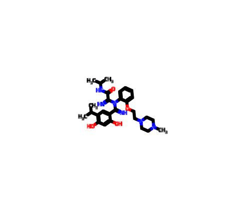 CC(C)NC(=O)C(=N)N(C(=N)c1cc(C(C)C)c(O)cc1O)c1ccccc1OCCN1CCN(C)CC1